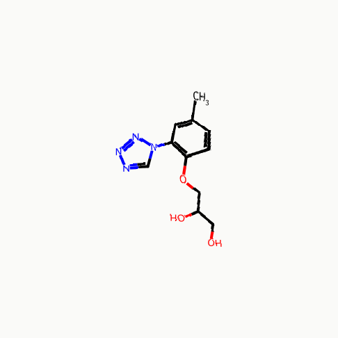 Cc1ccc(OCC(O)CO)c(-n2cnnn2)c1